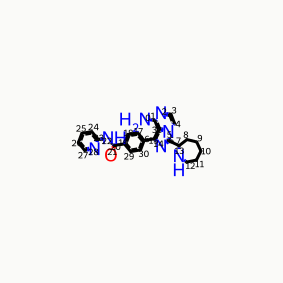 Nc1nccn2c(C3CCCCCN3)nc(-c3ccc(C(=O)Nc4ccccn4)cc3)c12